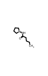 CCCCC(=O)NN1CCCC1